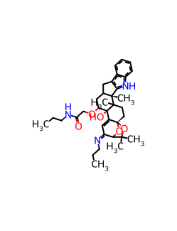 CCC/N=C1/C=C2[C@@]3(CCC4(C)[C@@]5(C)c6[nH]c7ccccc7c6CC5C[C@H](OCC(=O)NCCC)[C@@]24O)OC1C(C)(C)O3